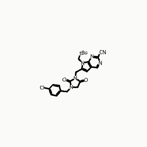 CC(C)(C)Cn1c(CN2C(=O)CN(Cc3ccc(Cl)cc3)C2=O)cc2cnc(C#N)nc21